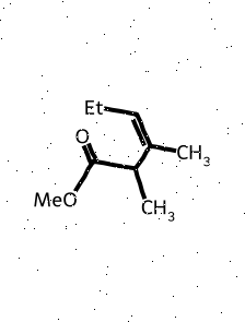 CCC=C(C)C(C)C(=O)OC